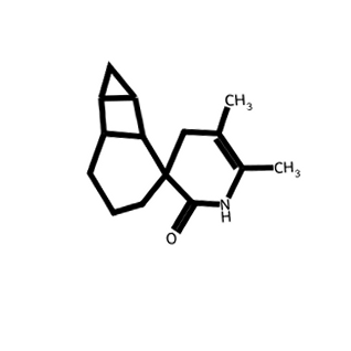 CC1=C(C)NC(=O)C2(CCCC3C4CC4C32)C1